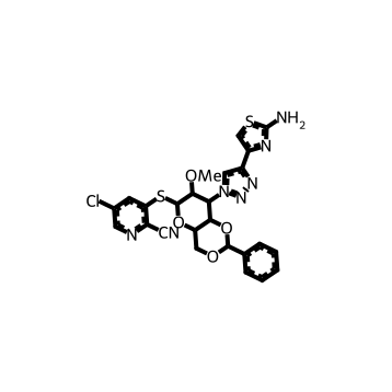 COC1C(Sc2cc(Cl)cnc2C#N)OC2COC(c3ccccc3)OC2C1n1cc(-c2csc(N)n2)nn1